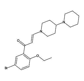 CCOc1ccc(Br)cc1C(=O)C=CN1CCC(N2CCCCC2)CC1